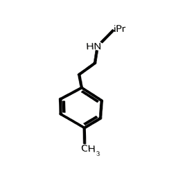 Cc1ccc(CCNC(C)C)cc1